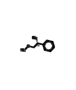 CC(C)(C)OC[C@@H](c1ccccc1)C(C)(C)C